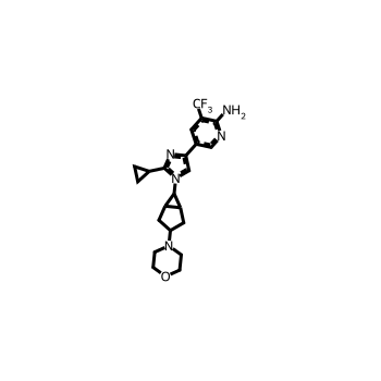 Nc1ncc(-c2cn(C3C4CC(N5CCOCC5)CC43)c(C3CC3)n2)cc1C(F)(F)F